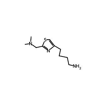 CN(C)Cc1nc(CCCCN)cs1